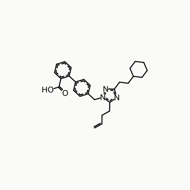 C=CCCc1nc(CCC2CCCCC2)nn1Cc1ccc(-c2ccccc2C(=O)O)cc1